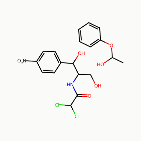 CC(O)Oc1ccccc1.O=C(NC(CO)C(O)c1ccc([N+](=O)[O-])cc1)C(Cl)Cl